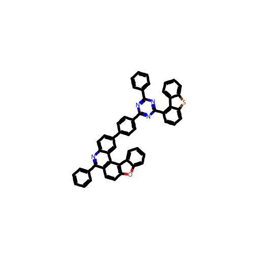 c1ccc(-c2nc(-c3ccc(-c4ccc5nc(-c6ccccc6)c6ccc7oc8ccccc8c7c6c5c4)cc3)nc(-c3cccc4sc5ccccc5c34)n2)cc1